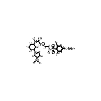 COc1cc(C)c(S(=O)(=O)N(C)CCOCC(=O)N(C)[C@@H]2CCC[C@H](N3CCC(N(C)C)C3)C2)c(C)c1